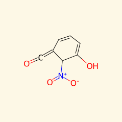 O=C=C1C=CC=C(O)C1[N+](=O)[O-]